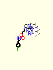 C=NC(N)=NC(=C(CN)N=C)N(C)CCCCOC(=O)NCCc1ccc(F)cc1